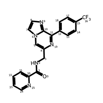 O=C(NCc1cn2ccnc2c(-c2ccc(C(F)(F)F)cc2)n1)c1ccccn1